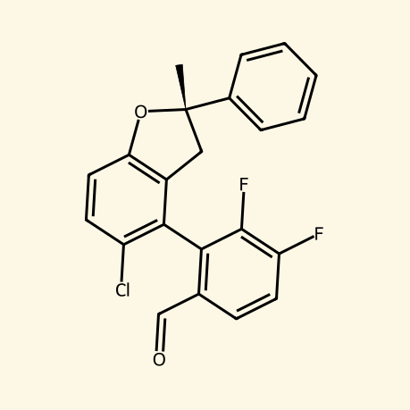 C[C@@]1(c2ccccc2)Cc2c(ccc(Cl)c2-c2c(C=O)ccc(F)c2F)O1